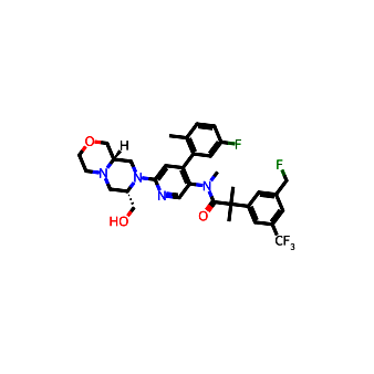 Cc1ccc(F)cc1-c1cc(N2C[C@H]3COCCN3C[C@H]2CO)ncc1N(C)C(=O)C(C)(C)c1cc(CF)cc(C(F)(F)F)c1